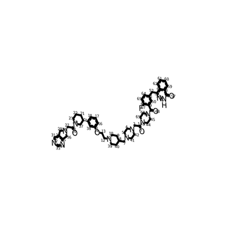 O=C(CN1CCN(CC2CCN(CCOc3cccc([C@H]4CCCN(C(=O)CN5Cc6cncnc6C5)C4)c3)CC2)CC1)N1CCN(C(=O)c2cc(Cc3n[nH]c(=O)c4ccccc34)ccc2F)CC1